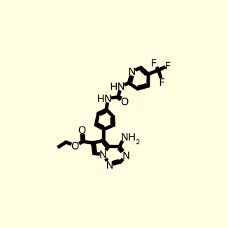 CCOC(=O)c1cn2ncnc(N)c2c1-c1ccc(NC(=O)Nc2ccc(C(F)(F)F)cn2)cc1